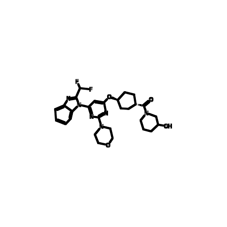 O=C([C@H]1CC[C@H](Oc2cc(-n3c(C(F)F)nc4ccccc43)nc(N3CCOCC3)n2)CC1)N1CCCC(O)C1